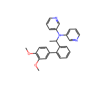 COc1ccc(-c2ccccc2C(C)N(c2cccnc2)c2cccnc2)cc1OC